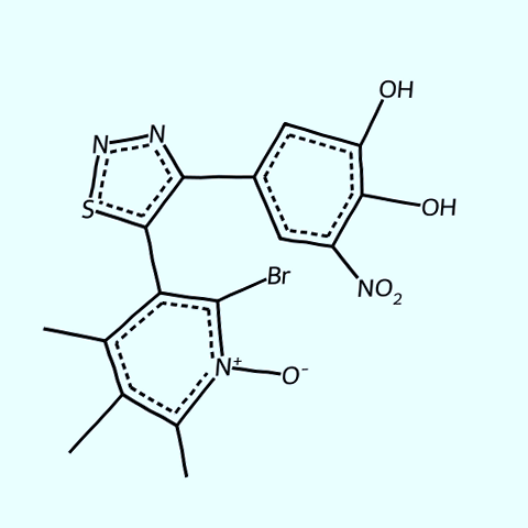 Cc1c(C)c(C)[n+]([O-])c(Br)c1-c1snnc1-c1cc(O)c(O)c([N+](=O)[O-])c1